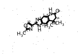 Cc1nc(-c2nc3cc4c(cc3[nH]2)C(C)(C)CC(=O)N4)co1